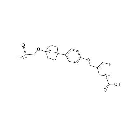 CNC(=O)COC12CCC(c3ccc(OCC(=CF)CNC(=O)O)cc3)(CC1)CC2